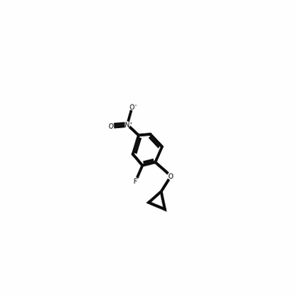 O=[N+]([O-])c1ccc(OC2CC2)c(F)c1